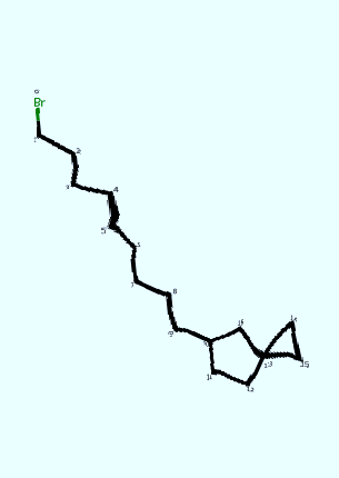 BrCCCCCCCCCC1CCC2(CC2)C1